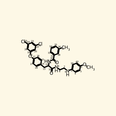 COc1ccc(NCCNC(=O)C(Cc2ccc(Oc3cc(Cl)cc(Cl)c3)cc2)NC(=O)c2cccc(C)c2)cc1